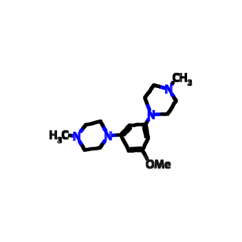 COc1cc(N2CCN(C)CC2)cc(N2CCN(C)CC2)c1